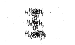 CC(C)(CCOC(=O)CCc1cc(C(C)(C)C)c(O)c(C(C)(C)C)c1)OOC(C)(C)CCOC(=O)CCc1cc(C(C)(C)C)c(O)c(C(C)(C)C)c1